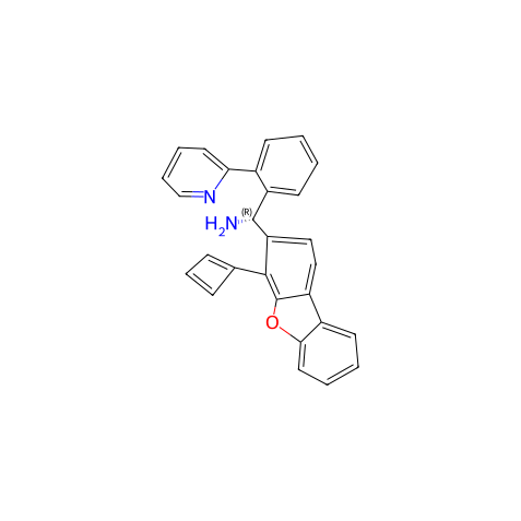 N[C@H](c1ccccc1-c1ccccn1)c1ccc2c(oc3ccccc32)c1C1=CC=C1